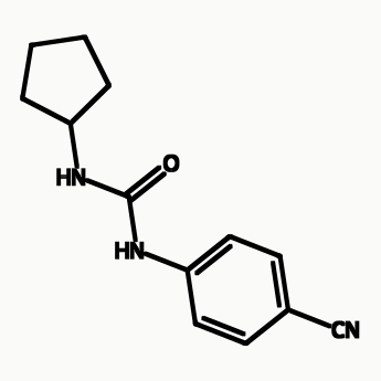 N#Cc1ccc(NC(=O)NC2CCCC2)cc1